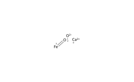 [Ca+2].[O-2].[O]=[Fe]